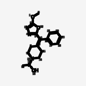 COc1nnc(C(=C2CCN(B(C)O)CC2)c2ccccc2)o1